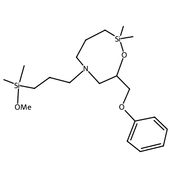 CO[Si](C)(C)CCCN1CCC[Si](C)(C)OC(COc2ccccc2)C1